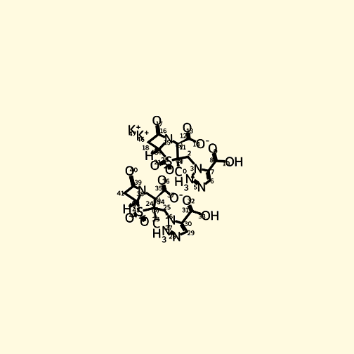 C[C@]1(Cn2nncc2C(=O)O)[C@H](C(=O)[O-])N2C(=O)C[C@H]2S1(=O)=O.C[C@]1(Cn2nncc2C(=O)O)[C@H](C(=O)[O-])N2C(=O)C[C@H]2S1(=O)=O.[K+].[K+]